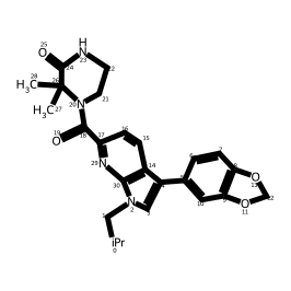 CC(C)Cn1cc(-c2ccc3c(c2)OCO3)c2ccc(C(=O)N3CCNC(=O)C3(C)C)nc21